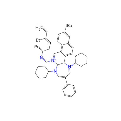 C=C/C(=C/C[C@@H](/N=C\[N+]1=Cc2c(ccc3cc(C(C)(C)C)ccc23)C2C1N(C1CCCCC1)C=C(c1ccccc1)C=[N+]2C1CCCCC1)C(C)C)CC